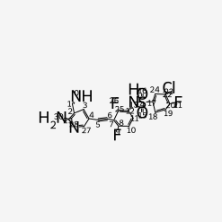 N=Cc1cc(C#Cc2c(F)ccc(NS(=O)(=O)c3ccc(F)c(Cl)c3)c2F)cnc1N